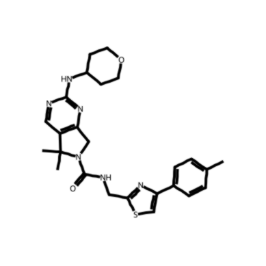 Cc1ccc(-c2csc(CNC(=O)N3Cc4nc(NC5CCOCC5)ncc4C3(C)C)n2)cc1